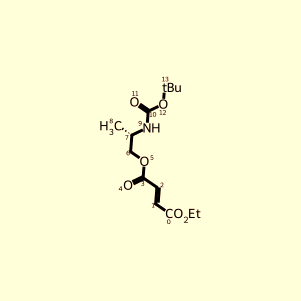 CCOC(=O)/C=C/C(=O)OC[C@H](C)NC(=O)OC(C)(C)C